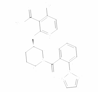 COC(=O)c1c(SC)ccnc1O[C@@H]1CC[C@@H](C)N(C(=O)c2ccccc2-n2nccn2)C1